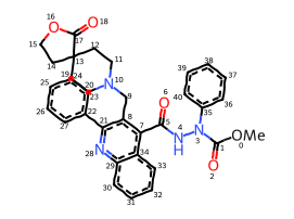 COC(=O)N(NC(=O)c1c(CN2CCC3(CCOC3=O)CC2)c(-c2ccccc2)nc2ccccc12)c1ccccc1